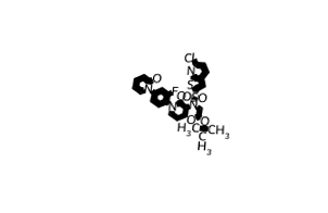 CC(C)(C)OC(=O)CN(C1CCCN(c2ccc(-n3ccccc3=O)cc2F)C1=O)S(=O)(=O)c1cc2ccc(Cl)nc2s1